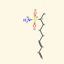 C=CC=CCCCC(C)S(N)(=O)=O